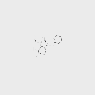 O=Cc1nnc(Cc2ccccc2)c2ccc(I)c(I)c12